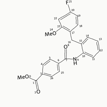 COC(=O)c1ccc(C(=O)Nc2ccccc2Cc2ccc(F)cc2OC)cc1